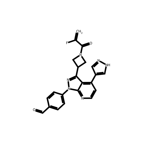 C=C(F)C(=O)N1CC(c2nn(-c3ccc(C=O)cc3)c3nccc(-c4cn[nH]c4)c23)C1